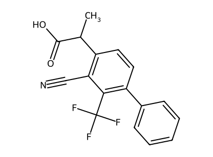 CC(C(=O)O)c1ccc(-c2ccccc2)c(C(F)(F)F)c1C#N